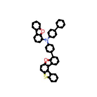 c1ccc(-c2ccc(N(c3ccc(-c4cccc5c4oc4ccc6sc7ccccc7c6c45)cc3)c3cccc4c3oc3ccccc34)cc2)cc1